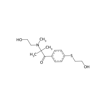 CN(CCO)C(C)(C)C(=O)c1ccc(SCCO)cc1